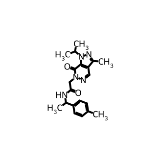 Cc1ccc(C(C)NC(=O)Cn2ncc3c(C)nn(C(C)C)c3c2=O)cc1